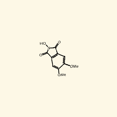 COc1cc2c(cc1OC)C(=O)N(O)C2=O